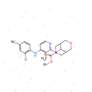 Cc1c(Nc2ccc(C#N)cc2Cl)ccnc1OC1C2COCC1CN(C(=O)OC(C)C)C2